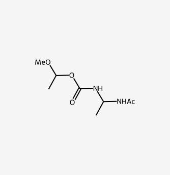 COC(C)OC(=O)NC(C)NC(C)=O